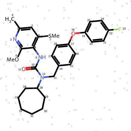 COc1nc(C)cc(SC)c1NC(=O)N(Cc1ccc(Oc2ccc(F)cc2)cc1)C1CCCCCC1